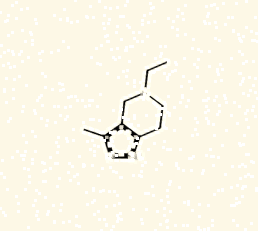 CCN1CCc2[nH]nc(C)c2C1